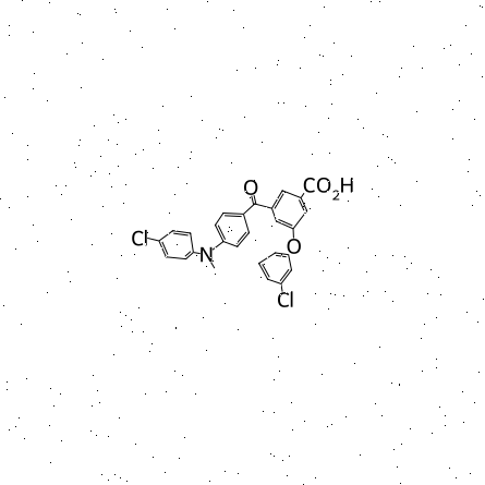 CN(c1ccc(Cl)cc1)c1ccc(C(=O)c2cc(Oc3cccc(Cl)c3)cc(C(=O)O)c2)cc1